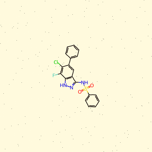 O=S(=O)(Nc1n[nH]c2c(F)c(Cl)c(-c3ccccc3)cc12)c1ccccc1